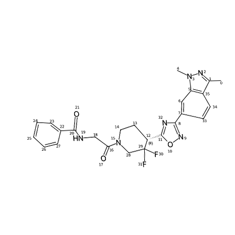 Cc1nn(C)c2cc(-c3noc([C@H]4CCN(C(=O)CNC(=O)c5ccccc5)CC4(F)F)n3)ccc12